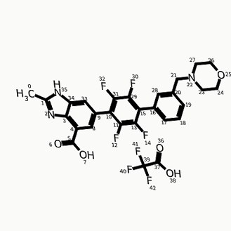 Cc1nc2c(C(=O)O)cc(-c3c(F)c(F)c(-c4cccc(CN5CCOCC5)c4)c(F)c3F)cc2[nH]1.O=C(O)C(F)(F)F